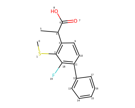 CSc1c(C(C)C(=O)O)ccc(-c2ccccc2)c1F